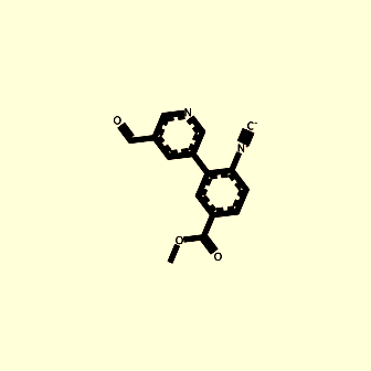 [C-]#[N+]c1ccc(C(=O)OC)cc1-c1cncc(C=O)c1